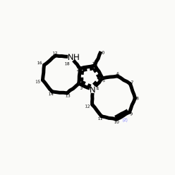 Cc1c2c(n3c1CCC/C=C\CC3)CCCCCN2